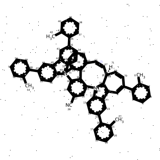 Cc1ccccc1C1=Cc2c3n(c4ccc(-c5ccccc5C)cc24)-c2cc(C#N)cc(-n4c5ccc(-c6ccccc6C)cc5c5cc(-c6ccccc6C)ccc54)c2-c2c(cccc2C(F)(F)F)/C=C\[C@H]3C=C1